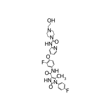 Cc1c(C(=O)Nc2ccc(Oc3ccnc(NC(=O)N4CCN(CCO)CC4)c3)c(F)c2)[nH]c(=O)n1-c1ccc(F)cc1